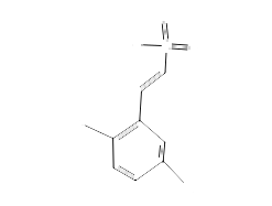 O=S(=O)(Cl)C=Cc1cc(Cl)ccc1Cl